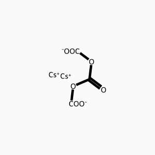 O=C([O-])OC(=O)OC(=O)[O-].[Cs+].[Cs+]